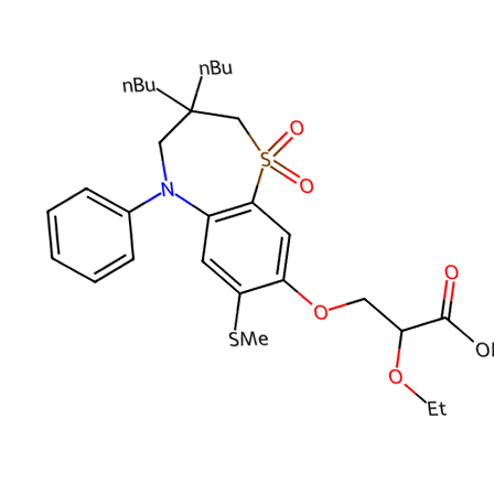 CCCCC1(CCCC)CN(c2ccccc2)c2cc(SC)c(OCC(OCC)C(=O)OC)cc2S(=O)(=O)C1